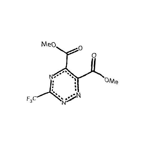 COC(=O)c1nnc(C(F)(F)F)nc1C(=O)OC